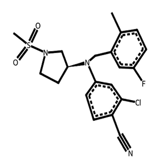 Cc1ccc(F)cc1CN(c1ccc(C#N)c(Cl)c1)[C@H]1CCN(S(C)(=O)=O)C1